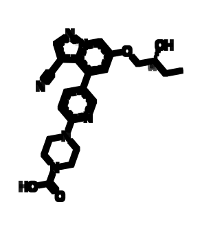 CC[C@@H](O)COc1cc(-c2ccc(N3CCN(C(=O)O)CC3)nc2)c2c(C#N)cnn2c1